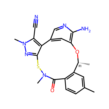 Cc1ccc2c(c1)[C@@H](C)Oc1cc(cnc1N)-c1c(nn(C)c1C#N)SN(C)C2=O